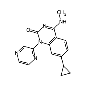 CNc1nc(=O)n(-c2cnccn2)c2cc(C3CC3)ccc12